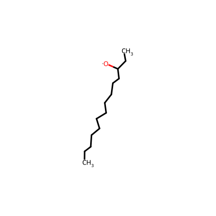 CCCCCCCCCCCC([O])CC